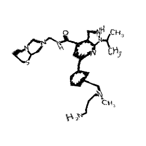 CC(C)N1NCc2c(C(=O)NCN3CC4SCCN4C3)cc(-c3cccc(CN(C)CCN)c3)nc21